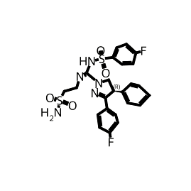 NS(=O)(=O)CCN=C(NS(=O)(=O)c1ccc(F)cc1)N1C[C@@H](c2ccccc2)C(c2ccc(F)cc2)=N1